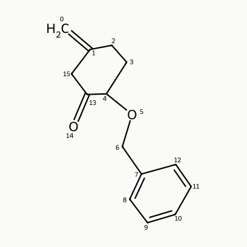 C=C1CCC(OCc2ccccc2)C(=O)C1